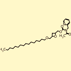 CCCCCCCCCCCCCCCCOCC1CC(COC(=O)N(Cc2ccccn2)C(C)=O)O1